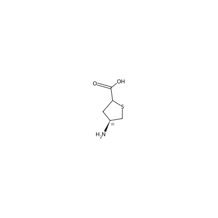 N[C@@H]1CSC(C(=O)O)C1